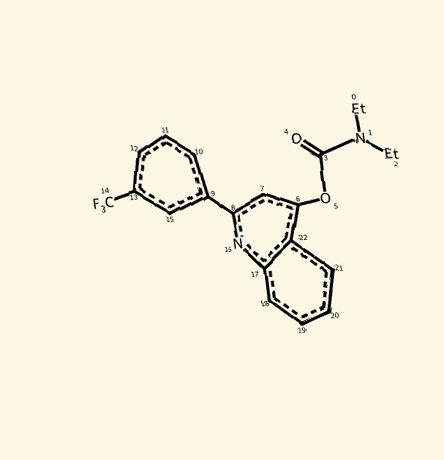 CCN(CC)C(=O)Oc1cc(-c2cccc(C(F)(F)F)c2)nc2ccccc12